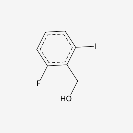 OCc1c(F)cccc1I